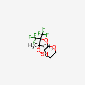 CC(C)(OO)C(OC1CCCCO1)(C(F)(F)F)C(F)(F)F